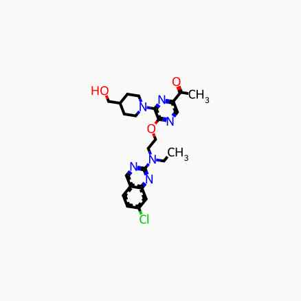 CCN(CCOc1ncc(C(C)=O)nc1N1CCC(CO)CC1)c1ncc2ccc(Cl)cc2n1